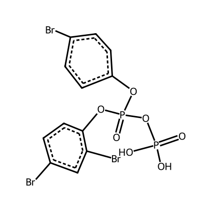 O=P(O)(O)OP(=O)(Oc1ccc(Br)cc1)Oc1ccc(Br)cc1Br